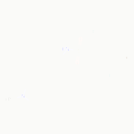 CCCN1CC[C@@H](c2ccc(NS(=O)(=O)c3cc(F)c(Br)cc3F)cc2)C1